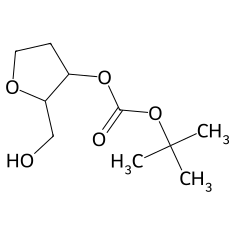 CC(C)(C)OC(=O)OC1CCOC1CO